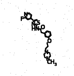 CN1CCN(CCCOc2cccc(CC(=O)Nc3nc(-c4ccnc(F)c4)cs3)c2)CC1